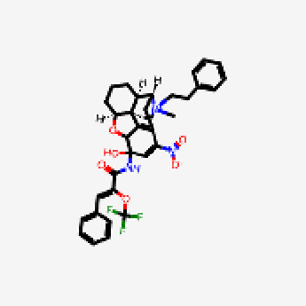 C[N+]1(CCc2ccccc2)CC[C@@]23C4=C5C[C@@H]1[C@@H]2CCC[C@@H]3OC4C(O)(NC(=O)C(=Cc1ccccc1)OC(F)(F)F)C=C5[N+](=O)[O-]